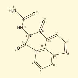 NC(=O)NN1C(=O)c2cccc3cccc(c23)C1=O